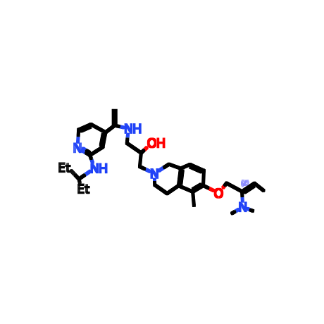 C=C(NCC(O)CN1CCc2c(ccc(OC/C(=C/C)N(C)C)c2C)C1)c1ccnc(NC(CC)CC)c1